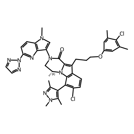 Cc1cc(OCCCc2c3n(c4c(-c5c(C)nn(C)c5C)c(Cl)ccc24)[C@H](C)CN(c2cn(C)c4ccc(-n5nccn5)nc24)C3=O)cc(C)c1Cl